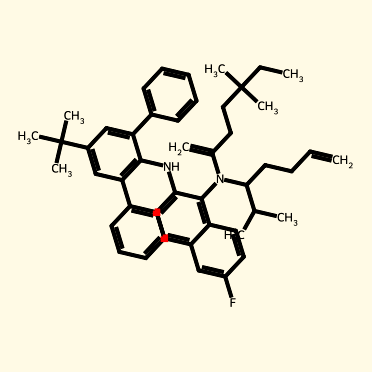 C=CCCC(C(C)C)N(C(=C)CCC(C)(C)CC)c1c(Nc2c(-c3ccccc3)cc(C(C)(C)C)cc2-c2ccccc2)ccc2cc(F)ccc12